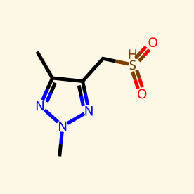 Cc1nn(C)nc1C[SH](=O)=O